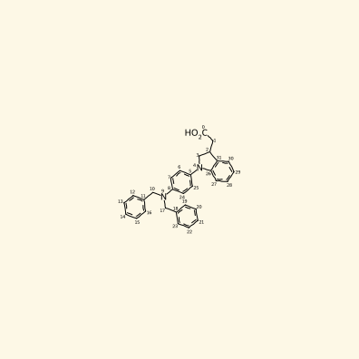 O=C(O)CC1CN(c2ccc(N(Cc3ccccc3)Cc3ccccc3)cc2)c2ccccc21